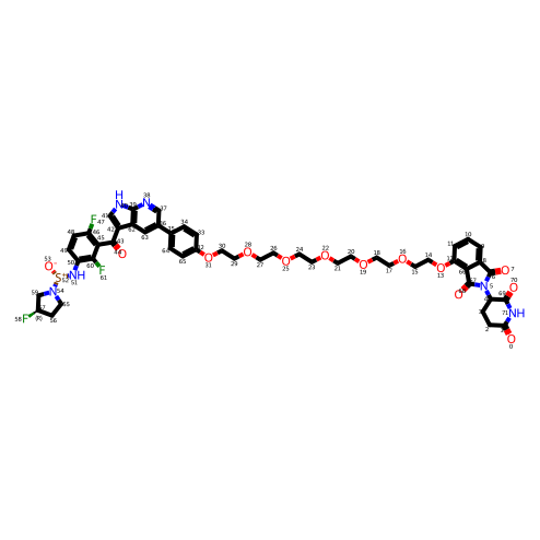 O=C1CCC(N2C(=O)c3cccc(OCCOCCOCCOCCOCCOCCOc4ccc(-c5cnc6[nH]cc(C(=O)c7c(F)ccc(N[S+]([O-])N8CC[C@@H](F)C8)c7F)c6c5)cc4)c3C2=O)C(=O)N1